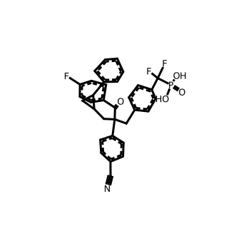 N#Cc1ccc(C(Cc2ccc(C(F)(F)P(=O)(O)O)cc2)(CC2CC2c2ccccc2)C(=O)c2ccc(F)cc2)cc1